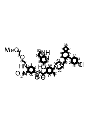 COCCOCCNc1ccc([S+]([O-])NC(=O)c2cc(F)c(N3CCN(CC4=C(c5ccc(Cl)cc5)CC5(CCC5)CC4)CC3)cc2Oc2cnc3[nH]ccc3c2)cc1[N+](=O)[O-]